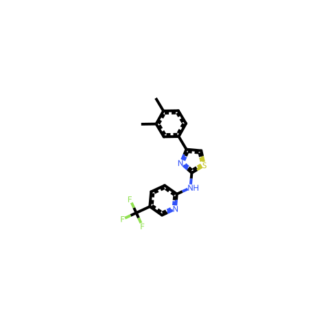 Cc1ccc(-c2csc(Nc3ccc(C(F)(F)F)cn3)n2)cc1C